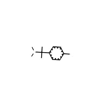 [2H]N([2H])C([2H])([2H])c1ccc(OC)cc1